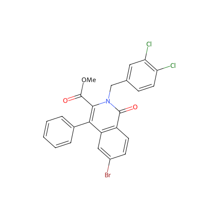 COC(=O)c1c(-c2ccccc2)c2cc(Br)ccc2c(=O)n1Cc1ccc(Cl)c(Cl)c1